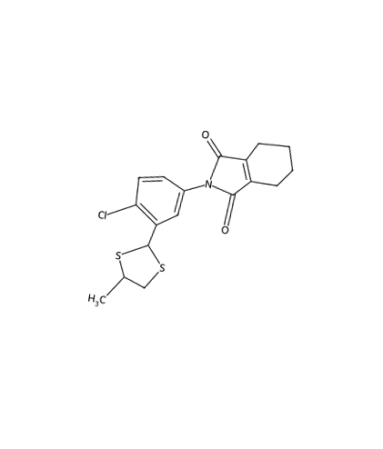 CC1CSC(c2cc(N3C(=O)C4=C(CCCC4)C3=O)ccc2Cl)S1